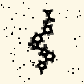 Cc1cn(-c2nccc3[nH]c(-c4n[nH]c5ccc(-c6cncc(NC(=O)C7CC7)c6)cc45)nc23)cn1